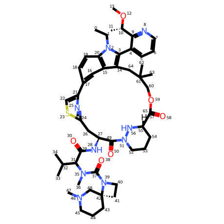 CCn1c(-c2cccnc2[C@H](C)OC)c2c3cc(ccc31)-c1csc(n1)C[C@H](NC(=O)C(C(C)C)N(C)C(=O)N1CC[C@@]13CCCN(C)C3)C(=O)N1CCC[C@H](N1)C(=O)OCC(C)(C)C2